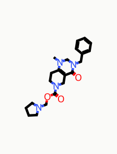 CN1CN(Cc2ccccc2)C(=O)C2=C1CCN(C(=O)OCN1CCCC1)C2